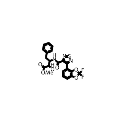 COC(=O)C(O)C(Cc1ccccc1)NC(=O)c1nsnc1-c1cccc2c1OC(F)(F)O2